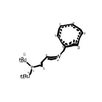 CC(C)(C)P(CC=Nc1ccccc1)C(C)(C)C